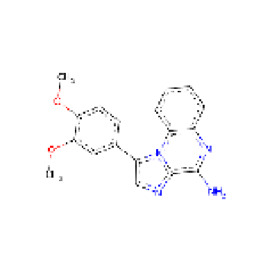 COc1ccc(-c2cnc3c(N)nc4ccccc4n23)cc1OC